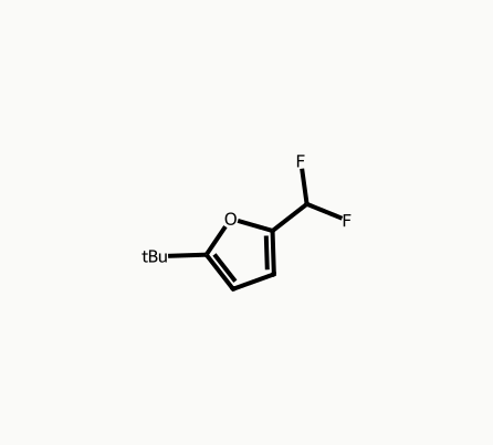 CC(C)(C)c1ccc(C(F)F)o1